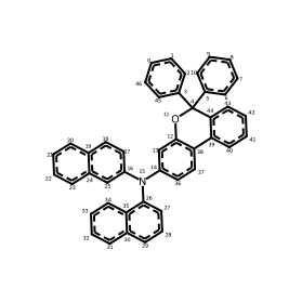 c1ccc(C2(c3ccccc3)Oc3cc(N(c4ccc5ccccc5c4)c4cccc5ccccc45)ccc3-c3ccccc32)cc1